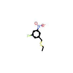 CCSCc1cc(F)cc([N+](=O)[O-])c1